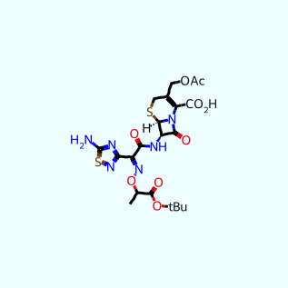 CC(=O)OCC1=C(C(=O)O)N2C(=O)[C@@H](NC(=O)C(=NOC(C)C(=O)OC(C)(C)C)c3nsc(N)n3)[C@H]2SC1